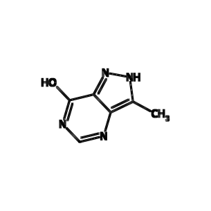 Cc1[nH]nc2c(O)ncnc12